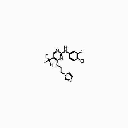 FC(F)(F)c1cnc(Nc2ccc(Cl)c(Cl)c2)nc1NCCn1ccnc1